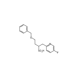 O=S(=O)(O)C(CCOCc1ccccc1)Cc1ccc(F)cn1